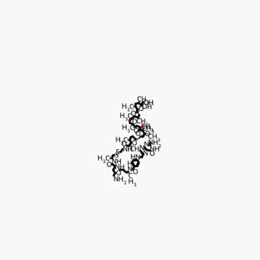 CO[C@@H]1C[C@@H](C[C@H]2CC[C@H](C)C([C@@H](C)C(=O)NCCSSC[C@@H](C)NC(=O)C(CCCN)NC(=O)CC[C@@H](C)NC(=O)c3ccc(NCc4cnc5nc(N)[nH]c(=O)c5n4)cc3)O2)O[C@]2(O[C@@](C)(C3CC[C@@](C)([C@@H]4O[C@@H]([C@@H]5O[C@@](O)(CO)[C@H](C)C[C@@H]5C)C[C@@H]4C)O3)C[C@H]2C)[C@@H]1C